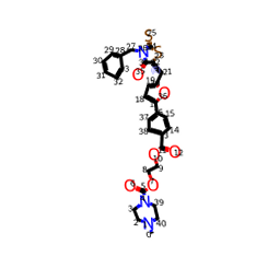 CN1CCN(C(=O)OCCOC(=O)c2ccc(-c3ccc(/C=C4/SC(=S)N(Cc5ccccc5)C4=O)o3)cc2)CC1